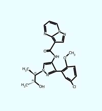 COc1ccc(Cl)cc1-c1nn([C@H](C)[C@@H](C)O)cc1NC(=O)c1cnn2cccnc12